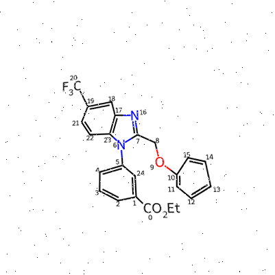 CCOC(=O)c1cccc(-n2c(COc3ccccc3)nc3cc(C(F)(F)F)ccc32)c1